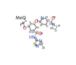 COC[C@H](C)Oc1cc(Oc2ccc(C(=O)N3CCC3)cn2)cc(C(=O)Nc2nc(C)ns2)c1